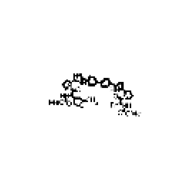 COC(=O)NC(C(=O)N1CCC[C@H]1c1ncc(-c2ccc(-c3ccc(-c4ccc(C5CCCN5C(=O)[C@@H](NC(=O)OC)C(C)C)[nH]4)cc3)cc2)[nH]1)C1CCOC(C)C1